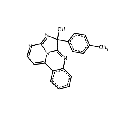 Cc1ccc(C2(O)N=C3N=CC=C4c5ccccc5N=C2N43)cc1